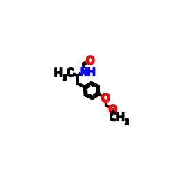 COCOc1ccc(CC(C)NC=O)cc1